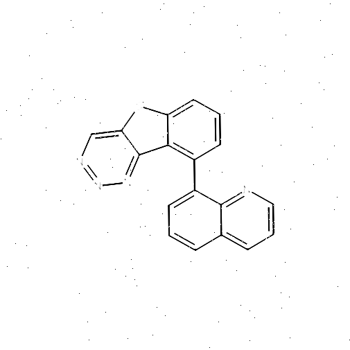 c1cnc2c(-c3cccc4sc5cnnnc5c34)cccc2c1